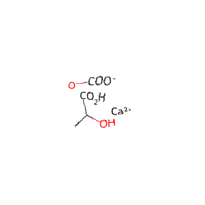 CC(O)C(=O)O.O=C([O-])[O-].[Ca+2]